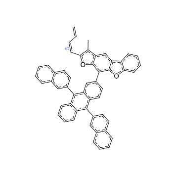 C=C/C=C\c1oc2c(-c3ccc4c(-c5ccc6ccccc6c5)c5ccccc5c(-c5ccc6ccccc6c5)c4c3)c3oc4ccccc4c3cc2c1C